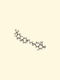 Cc1cc(=O)[nH]c2ccc(OCCCN3CCN(Cc4ccc(C(C)(C)C)cc4)CC3)cc12